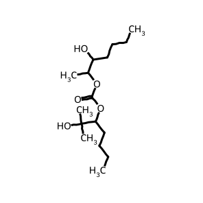 CCCCC(O)C(C)OC(=O)OC(CCCC)C(C)(C)O